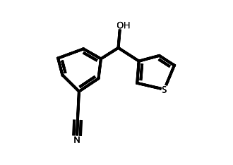 N#Cc1cccc(C(O)c2ccsc2)c1